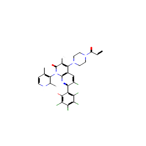 C=CC(=O)N1CCN(c2c(C#N)c(=O)n(C3=C(C)C=CNC3C(C)C)c3nc(-c4c(O)c(Cl)c(Cl)c(F)c4F)c(Cl)cc23)CC1